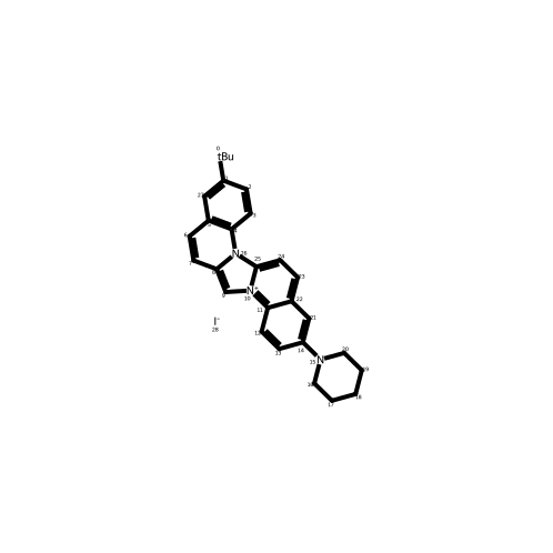 CC(C)(C)c1ccc2c(ccc3c[n+]4c5ccc(N6CCCCC6)cc5ccc4n32)c1.[I-]